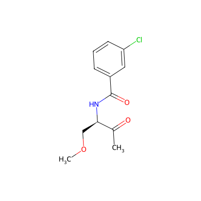 COC[C@@H](NC(=O)c1cccc(Cl)c1)C(C)=O